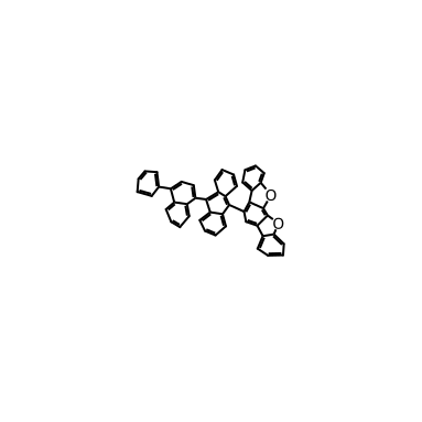 c1ccc(-c2ccc(-c3c4ccccc4c(-c4cc5c6ccccc6oc5c5oc6ccccc6c45)c4ccccc34)c3ccccc23)cc1